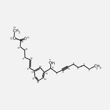 CCCCCC#CCC(O)c1cccc(C=CCCCC(=O)OC)c1